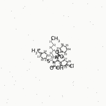 CCCCCCC1C(Sc2ccc(C)cc2)[C@@H](C(=O)O)C(c2ccc(Cl)cc2)N1S(=O)(=O)c1ccccc1